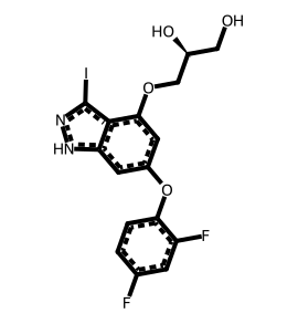 OC[C@H](O)COc1cc(Oc2ccc(F)cc2F)cc2[nH]nc(I)c12